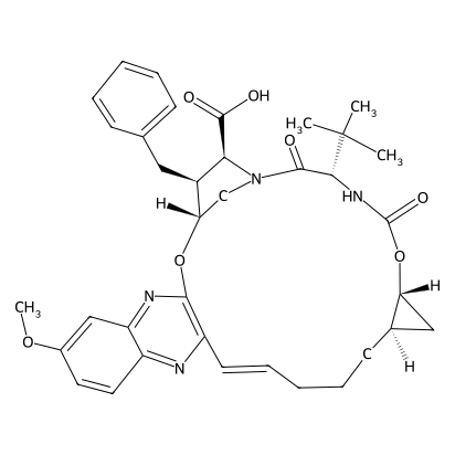 COc1ccc2nc3c(nc2c1)O[C@H]1CN(C(=O)[C@H](C(C)(C)C)NC(=O)O[C@@H]2C[C@H]2CCC/C=C/3)[C@H](C(=O)O)[C@@H]1Cc1ccccc1